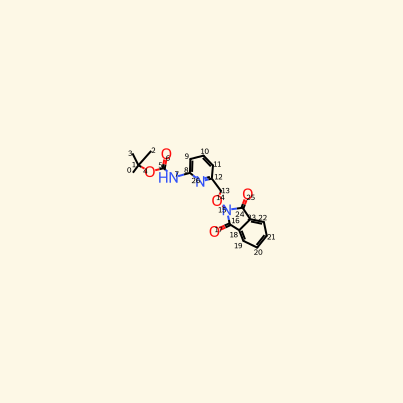 CC(C)(C)OC(=O)Nc1cccc(CON2C(=O)c3ccccc3C2=O)n1